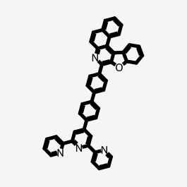 C1=CCC2Oc3c(-c4ccc(-c5ccc(-c6cc(-c7ccccn7)nc(-c7ccccn7)c6)cc5)cc4)nc4ccc5ccccc5c4c3C2=C1